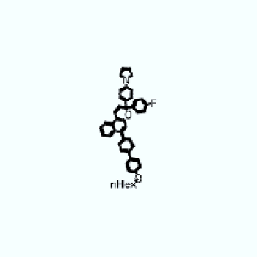 CCCCCCOc1ccc(-c2ccc(-c3cc4c(c5ccccc35)C=CC(c3ccc(F)cc3)(c3ccc(N5CCCC5)cc3)O4)cc2)cc1